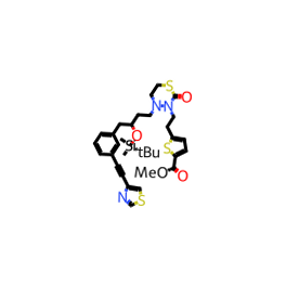 COC(=O)c1ccc(CCN2C(=O)SCCN2CCC(Cc2cccc(C#Cc3cscn3)c2)O[Si](C)(C)C(C)(C)C)s1